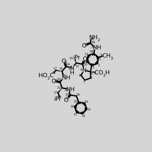 Cc1cc([C@]2(C(=O)O)CCCN2C(=O)[C@@H](NC(=O)[C@H](CC(=O)O)NC(=O)[C@H](CC(C)C)NC(=O)Cc2ccccc2)C(C)C)ccc1NC(N)=O